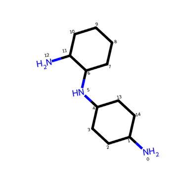 NC1CCC(NC2C[CH]CCC2N)CC1